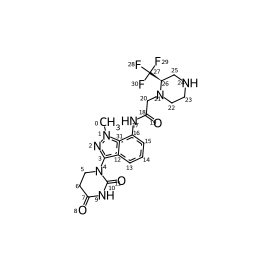 Cn1nc(N2CCC(=O)NC2=O)c2cccc(NC(=O)CN3CCNC[C@@H]3C(F)(F)F)c21